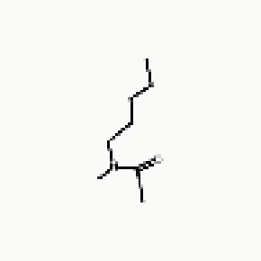 CCCCCN(C)C(C)=O